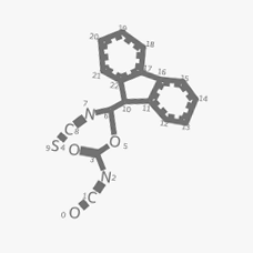 O=C=NC(=O)OC(N=C=S)C1c2ccccc2-c2ccccc21